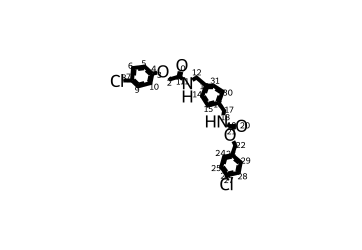 O=C(COc1ccc(Cl)cc1)NCc1ccc(CNC(=O)OCc2ccc(Cl)cc2)cc1